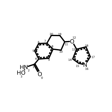 O=C(NO)c1ccc2c(c1)CC(Oc1ccncc1)CC2